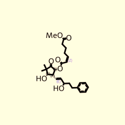 COC(=O)CCC/C=C\C(=O)O[C@H]1C(=O)C(C)(C)[C@@H](O)[C@H]1/C=C/C(O)CCc1ccccc1